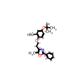 CCCCc1cc(OC(C)(C)C(C)=O)ccc1OCCc1nc(-c2ccccc2)oc1C